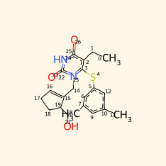 CCc1c(Sc2cc(C)cc(C)c2)n(CC2=CCCC2CO)c(=O)[nH]c1=O